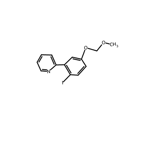 COCOc1ccc(I)c(-c2ccccn2)c1